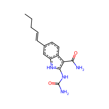 CCCC=Cc1ccc2c(C(N)=O)c(NC(N)=O)[nH]c2c1